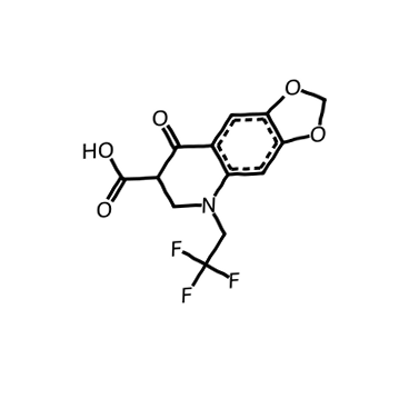 O=C(O)C1CN(CC(F)(F)F)c2cc3c(cc2C1=O)OCO3